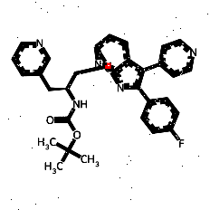 CC(C)(C)OC(=O)N[C@@H](Cc1cccnc1)CN1On2c(-c3ccc(F)cc3)c(-c3ccncc3)c3ccc1nc32